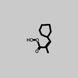 CC(=CC1CCCCC1)C(=O)OO